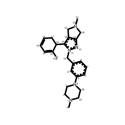 CN1CCN(c2cccc(Cn3nc4c(c3C3CC=CC=C3F)CN(C)C4)c2)CC1